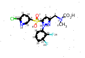 CN(Cc1cc(S(=O)(=O)c2ccc(Cl)nc2)n(-c2cccc(F)c2F)n1)C(=O)O